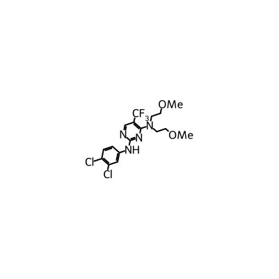 COCCN(CCOC)c1nc(Nc2ccc(Cl)c(Cl)c2)ncc1C(F)(F)F